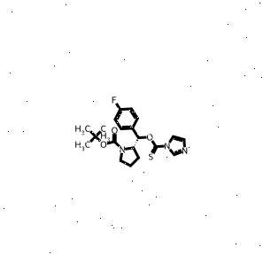 CC(C)(C)OC(=O)N1CCC[C@H]1C(OC(=S)n1ccnc1)c1ccc(F)cc1